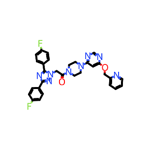 O=C(Cn1nc(-c2ccc(F)cc2)nc1-c1ccc(F)cc1)N1CCN(c2cc(OCc3ccccn3)ncn2)CC1